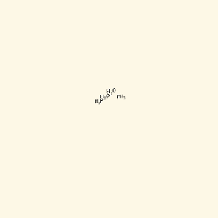 O.O.P.P